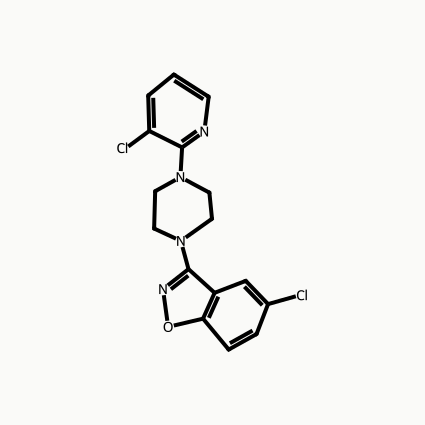 Clc1ccc2onc(N3CCN(c4ncccc4Cl)CC3)c2c1